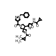 CC1(C)C[C@@H]1C(=O)N1CC2(CN(C(=O)c3cnn(Cc4ccccc4)c3)CC2c2cc(NC(=O)C3CC3)on2)C1